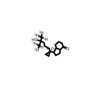 [2H]C([2H])([2H])C(O)(CCCC1(C2CCC3C(=O)CCC[C@@]32C)CC1)C([2H])([2H])[2H]